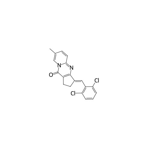 Cc1ccc2nc3c(c(=O)n2c1)CCC3=Cc1c(Cl)cccc1Cl